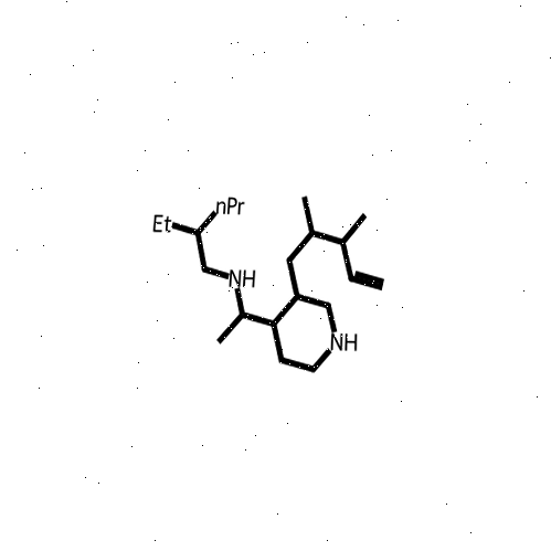 C=CC(C)C(C)CC1CNCCC1C(C)NCC(CC)CCC